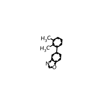 Cc1cccc(-c2ccc3ocnc3c2)c1C